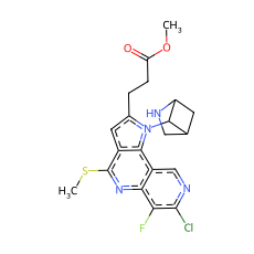 COC(=O)CCc1cc2c(SC)nc3c(F)c(Cl)ncc3c2n1C1C2CNC1C2